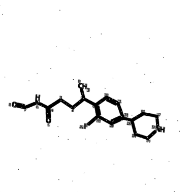 CC(CCC(=O)NC=O)c1ccc(C2CCNCC2)cc1F